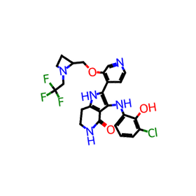 O=C1NCCc2[nH]c(-c3ccncc3OCC3CCN3CC(F)(F)F)c(Nc3cccc(Cl)c3O)c21